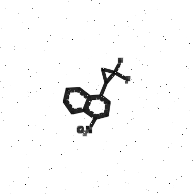 O=[N+]([O-])c1ccc(C2CC2(F)F)c2ccccc12